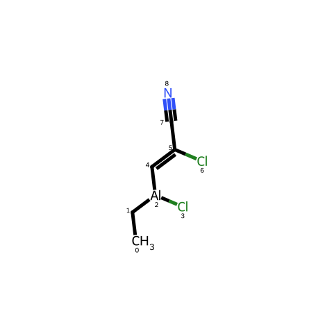 C[CH2][Al]([Cl])[CH]=C(Cl)C#N